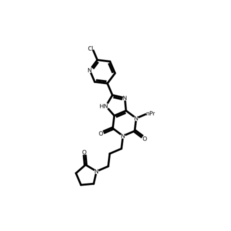 CCCn1c(=O)n(CCCN2CCCC2=O)c(=O)c2[nH]c(-c3ccc(Cl)nc3)nc21